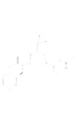 CC(C)(C)C(NC(=O)C(F)(F)F)C(=O)N1C[C@H]2[C@@H]([C@H]1C(=O)NC(C[C@@H]1CCCNC1=O)C(N)=O)C2(C)C